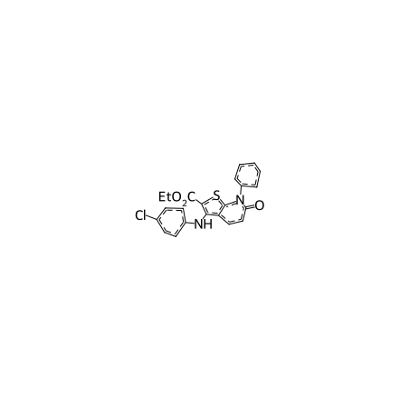 CCOC(=O)c1sc2c(ccc(=O)n2-c2ccccc2)c1Nc1ccc(Cl)cc1